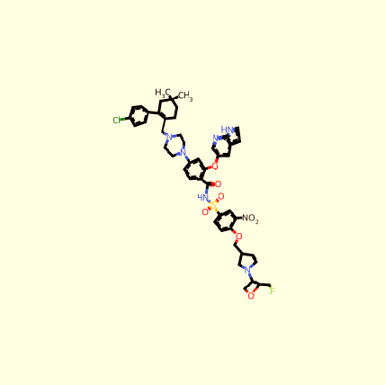 CC1(C)CCC(CN2CCN(c3ccc(C(=O)NS(=O)(=O)c4ccc(OCC5CCN(C6COC6CF)C5)c([N+](=O)[O-])c4)c(Oc4cnc5[nH]ccc5c4)c3)CC2)=C(c2ccc(Cl)cc2)C1